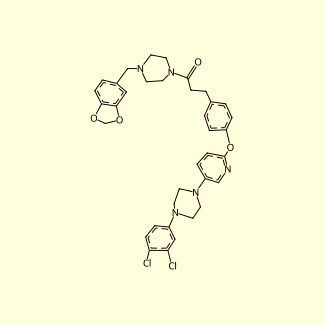 O=C(CCc1ccc(Oc2ccc(N3CCN(c4ccc(Cl)c(Cl)c4)CC3)cn2)cc1)N1CCN(Cc2ccc3c(c2)OCO3)CC1